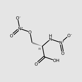 O=C(O)[C@H](CO[N+](=O)[O-])N[N+](=O)[O-]